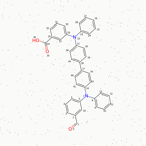 O=Cc1cccc(N(c2ccccc2)c2ccc(-c3ccc(N(c4ccccc4)c4cccc(C(=O)O)c4)cc3)cc2)c1